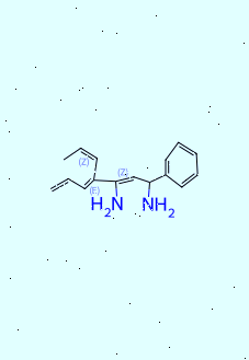 C=C/C=C(\C=C/C)C(/N)=C/C(N)c1ccccc1